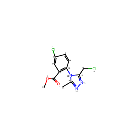 COC(=O)c1cc(Cl)ccc1-n1c(C)nnc1CCl